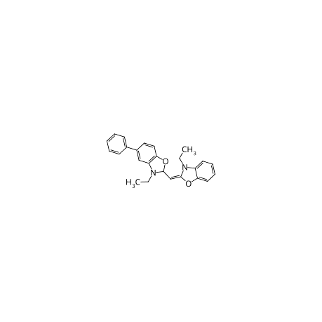 CCN1C(=CC2Oc3ccc(-c4ccccc4)cc3N2CC)Oc2ccccc21